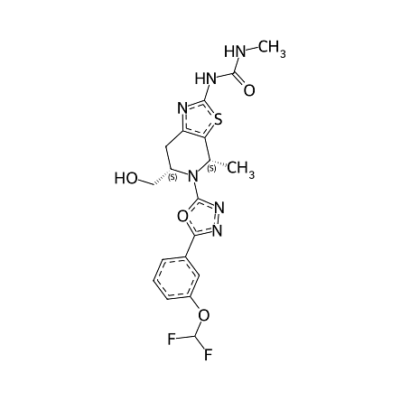 CNC(=O)Nc1nc2c(s1)[C@H](C)N(c1nnc(-c3cccc(OC(F)F)c3)o1)[C@H](CO)C2